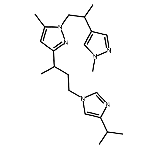 Cc1cc(C(C)CCn2cnc(C(C)C)c2)nn1CC(C)c1cnn(C)c1